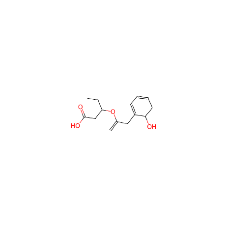 C=C(CC1=CC=CCC1O)OC(CC)CC(=O)O